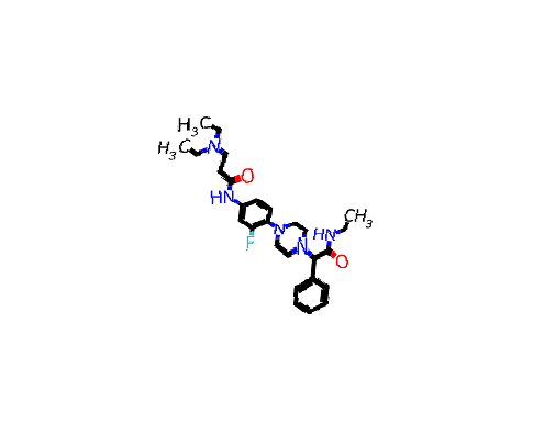 CCNC(=O)C(c1ccccc1)N1CCN(c2ccc(NC(=O)CCN(CC)CC)cc2F)CC1